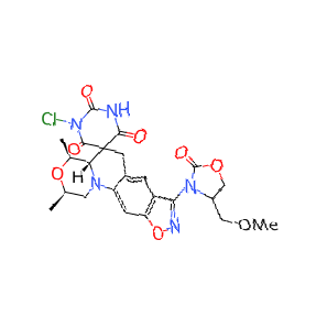 COCC1COC(=O)N1c1noc2cc3c(cc12)CC1(C(=O)NC(=O)N(Cl)C1=O)[C@H]1[C@H](C)O[C@H](C)CN31